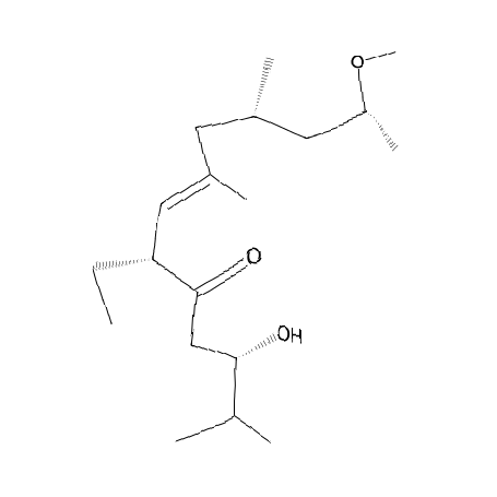 CC[C@H](/C=C(\C)C[C@H](C)C[C@@H](C)OC)C(=O)C[C@H](O)C(C)C